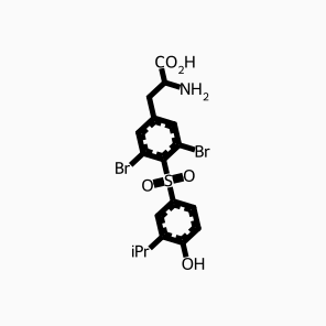 CC(C)c1cc(S(=O)(=O)c2c(Br)cc(CC(N)C(=O)O)cc2Br)ccc1O